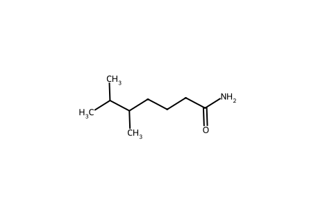 CC(C)C(C)CCCC(N)=O